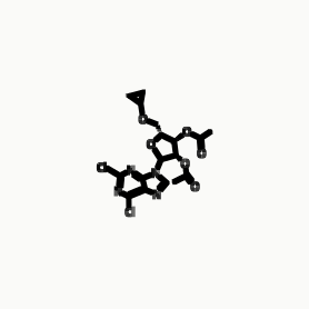 CC(=O)O[C@@H]1[C@@H](COC2CC2)OC(n2cnc3c(Cl)nc(Cl)nc32)[C@@H]1OC(C)=O